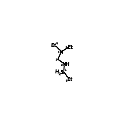 CC[SiH2]NCN(CC)CC